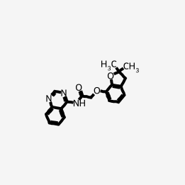 CC1(C)Cc2cccc(OCC(=O)Nc3ncnc4ccccc34)c2O1